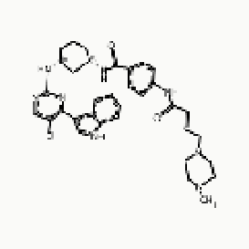 CN1CCN(CC=CC(=O)Nc2ccc(C(=O)N[C@H]3CCC[C@@H](Nc4ncc(Cl)c(-c5c[nH]c6ccccc56)n4)C3)cc2)CC1